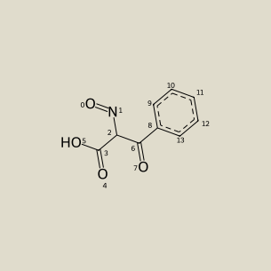 O=NC(C(=O)O)C(=O)c1ccccc1